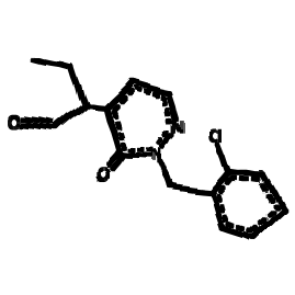 CCC(C=O)c1ccnn(Cc2ccccc2Cl)c1=O